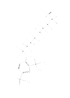 CC(C)(C)c1ccc(SC(F)(F)C(F)(F)C(F)(F)C(F)(F)C(F)(F)C(F)(F)C(F)(F)C(F)(F)S(=O)(=O)O)c(C(C)(C)C)c1